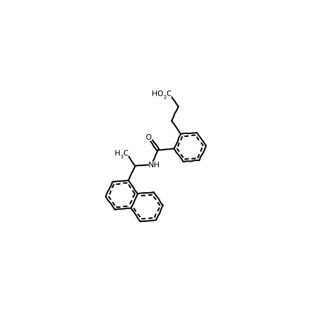 CC(NC(=O)c1ccccc1CCC(=O)O)c1cccc2ccccc12